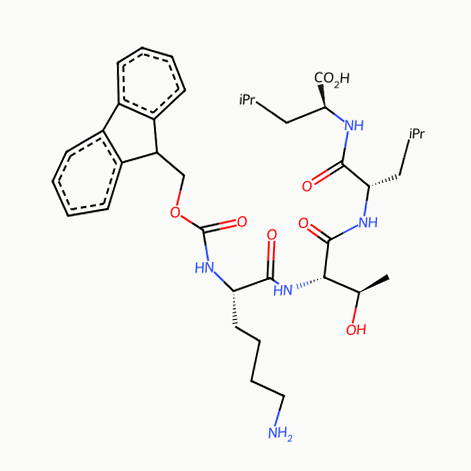 CC(C)C[C@H](NC(=O)[C@H](CC(C)C)NC(=O)[C@@H](NC(=O)[C@H](CCCCN)NC(=O)OCC1c2ccccc2-c2ccccc21)[C@@H](C)O)C(=O)O